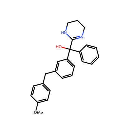 COc1ccc(Cc2cccc(C(O)(C3=NCCCN3)c3ccccc3)c2)cc1